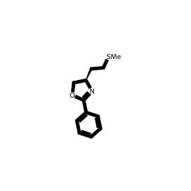 CSCC[C@@H]1COC(c2ccccc2)=N1